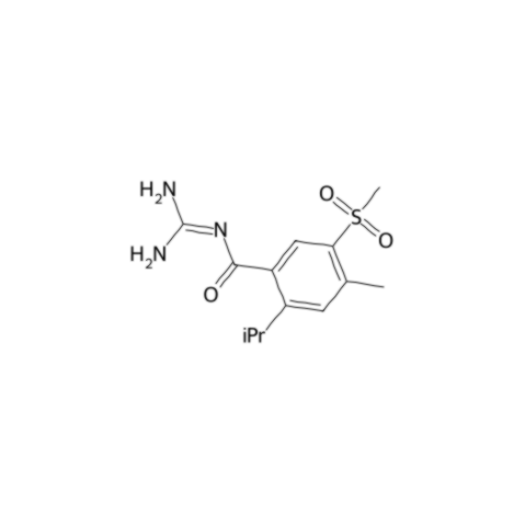 Cc1cc(C(C)C)c(C(=O)N=C(N)N)cc1S(C)(=O)=O